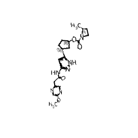 COc1cnc(CC(=O)Nc2cc([C@H]3CC[C@@H](OC(=O)N4CC[C@@H]4C)C3)[nH]n2)cn1